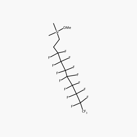 CO[Si](C)(C)CCC(F)(F)C(F)(F)C(F)(F)C(F)(F)C(F)(F)C(F)(F)C(F)(F)C(F)(F)F